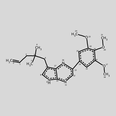 C=CCC(C)(C)Cc1c[nH]c2ncc(-c3cc(OC)c(OC)c(OC)c3)nc12